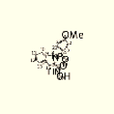 COc1ccc([PH](=O)N2Cc3ccccc3CC2C(=O)NO)cc1